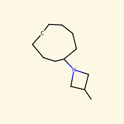 CC1CN(C2CCCCCCCC2)C1